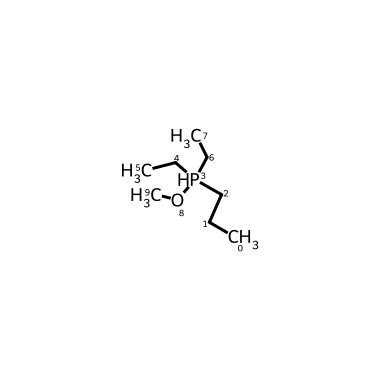 CCC[PH](CC)(CC)OC